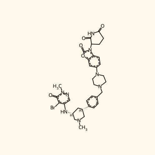 CN1C[C@H](Nc2cnn(C)c(=O)c2Br)C[C@H](c2ccc(CN3CCN(c4ccc5c(c4)oc(=O)n5C4CCC(=O)NC4=O)CC3)cc2)C1